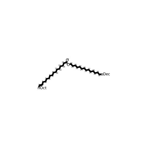 CCCCCCCCC=CCCCCCCCCCCCCCC(=O)OCCCCCCCCCCCCCCCCCCCCCCCC